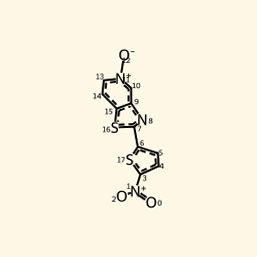 O=[N+]([O-])c1ccc(-c2nc3c[n+]([O-])ccc3s2)s1